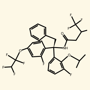 CC(C)Oc1c(F)cccc1[C@@](Cc1ccccc1)(NC(=O)CC(C)C(F)(F)F)c1ccc(OC(F)(F)C(F)F)cc1F